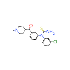 CN1CCC(C(=O)c2cccc(N(C(N)=S)c3cccc(Cl)c3)c2)CC1